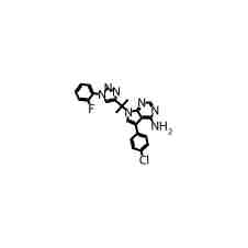 CC(C)(c1cn(-c2ccccc2F)nn1)n1cc(-c2ccc(Cl)cc2)c2c(N)ncnc21